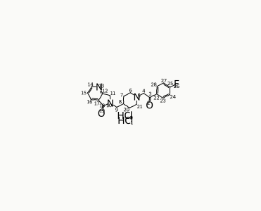 Cl.Cl.O=C(CN1CCC(CN2Cc3ncccc3C2=O)CC1)c1ccc(F)cc1